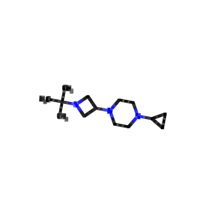 CC(C)(C)N1CC(N2CCN(C3CC3)CC2)C1